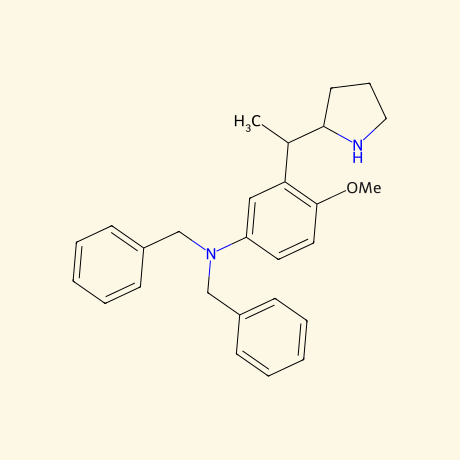 COc1ccc(N(Cc2ccccc2)Cc2ccccc2)cc1C(C)C1CCCN1